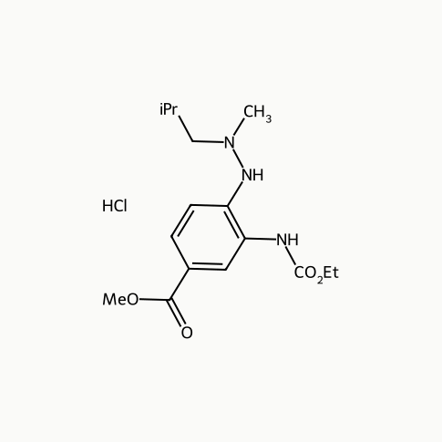 CCOC(=O)Nc1cc(C(=O)OC)ccc1NN(C)CC(C)C.Cl